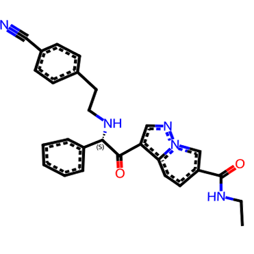 CCNC(=O)c1ccc2c(C(=O)[C@@H](NCCc3ccc(C#N)cc3)c3ccccc3)cnn2c1